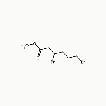 COC(=O)CC(Br)CCCBr